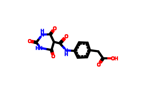 O=C(O)Cc1ccc(NC(=O)C2C(=O)NC(=O)NC2=O)cc1